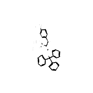 CN(C)[C@@H](COC(c1ccccc1)(c1ccccc1)c1ccccc1)[C@@H](O)c1ccc([N+](=O)[O-])cc1